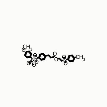 COc1ccc(N([N+](=O)[O-])S(=O)(=O)c2ccc(CCC(=O)OCCS(=O)(=O)c3ccc(C)cc3)cc2)cc1